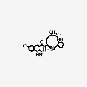 CC1C=CCC(NC(=O)C=Cc2cc(Cl)ccc2-n2cnnn2)c2nc(c[nH]2)-c2ccccc2NC(=O)C1